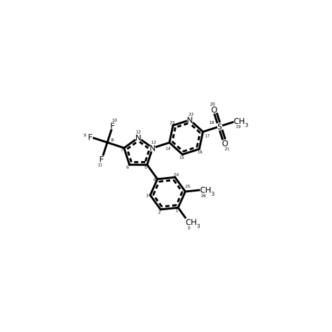 Cc1ccc(-c2cc(C(F)(F)F)nn2-c2ccc(S(C)(=O)=O)nc2)cc1C